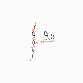 CCCCOc1ccc(C(=O)Oc2ccc(OC(=O)c3ccc(OCCCC)cc3)c(COCOCCCC(CC(C)c3ccccc3)CC(CC)c3ccccc3)c2)cc1